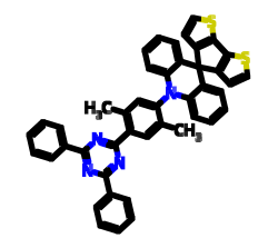 Cc1cc(N2c3ccccc3C3(c4ccccc42)c2ccsc2-c2sccc23)c(C)cc1-c1nc(-c2ccccc2)nc(-c2ccccc2)n1